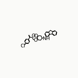 C=C(c1ccc(Cl)cc1)C1COC2(CCC(Nc3ccc4c(c3)-c3ccccc3C4)CC2)OO1